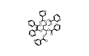 O=C(OC[C@H](OC(=O)c1cccnc1)[C@@H](OC(=O)c1cccnc1)[C@H](OC(=O)c1cccnc1)[C@@H](COC(=O)c1cccnc1)OC(=O)c1cccnc1)c1cccnc1